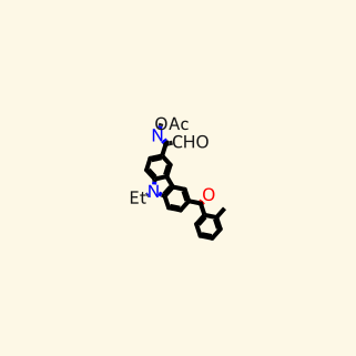 CCn1c2ccc(C(=O)c3ccccc3C)cc2c2cc(C(C=O)=NOC(C)=O)ccc21